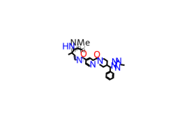 CNN[C@H]1C(C)/C=C/N=C(/c2ccnc(C(=O)N3CCC(C(c4ccccc4)n4nnc(C)n4)CC3)c2)O[C@@H](C)[C@H]1C